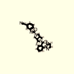 N#Cc1ccc2oc(N3CC4CN(C(=O)c5c(F)cccc5-n5nccn5)CC4C3)nc2c1